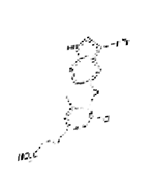 CCCc1c[nH]c2ccc(Oc3c(C)cc(OCC(=O)O)cc3Cl)cc12